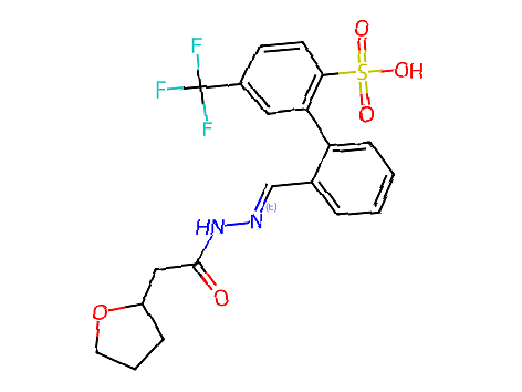 O=C(CC1CCCO1)N/N=C/c1ccccc1-c1cc(C(F)(F)F)ccc1S(=O)(=O)O